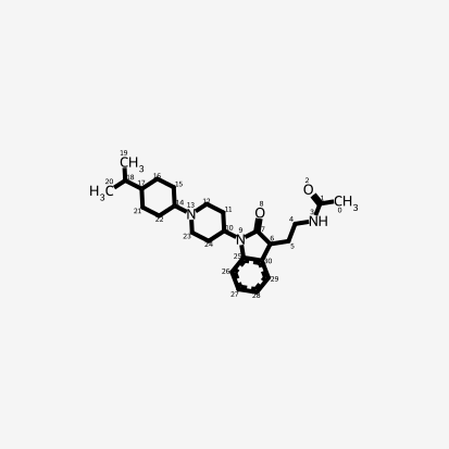 CC(=O)NCCC1C(=O)N(C2CCN(C3CCC(C(C)C)CC3)CC2)c2ccccc21